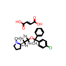 O=C(O)/C=C/C(=O)O.[2H]C([2H])(O[C@](C)(c1ccccc1)c1ccc(Cl)cc1)C([2H])([2H])[C@H]1CCCN1C